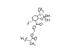 CC(C)C(=O)OCOC(=O)c1c(F)ccc2c1O[B-](O)(O)C[C@@H]2C